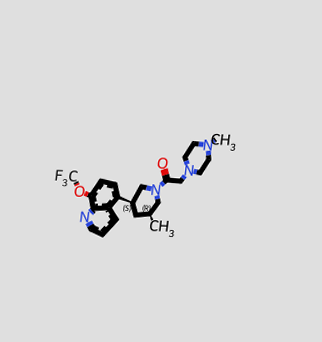 C[C@@H]1C[C@@H](c2ccc(OC(F)(F)F)c3ncccc23)CN(C(=O)CN2CCN(C)CC2)C1